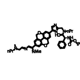 CCCN(C)C/C=N/C=C(\NC)c1cc2c3c(c1)OCc1cc(-c4cnc(CN(CCC)C(=O)[C@H](NC(=O)OC(C)C)c5ccccc5)[nH]4)cc(c1-3)OC2